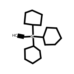 C#C[Si](C1CCCCC1)(C1CCCCC1)C1CCCCC1